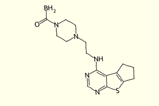 BC(=O)N1CCN(CCNc2ncnc3sc4c(c23)CCC4)CC1